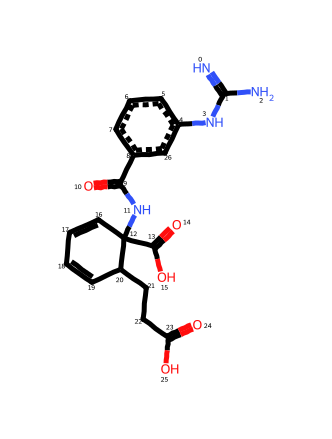 N=C(N)Nc1cccc(C(=O)NC2(C(=O)O)C=CC=CC2CCC(=O)O)c1